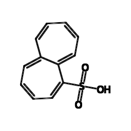 O=S(=O)(O)C1=CC=CC=C2C=CC=CC=C21